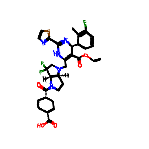 CCOC(=O)C1=C(CN2CC(F)(F)[C@H]3[C@@H]2CCN3C(=O)[C@H]2CC[C@H](C(=O)O)CC2)NC(c2nccs2)=N[C@H]1c1cccc(F)c1C